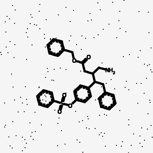 NCC(CC(=O)OCc1ccccc1)C(Cc1ccccc1)c1ccc(OS(=O)(=O)c2ccccc2)cc1